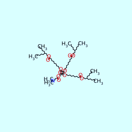 CCCCCC(CCCCC)CCOC(=O)CCCCCCCCO[C@@H]1O[C@H](COC(=O)CCN(C)C)[C@@H](OCCCCCCCCC(=O)OCCC(CCCCC)CCCCC)[C@H]1OCCCCCCCCC(=O)OCCC(CCCCC)CCCCC